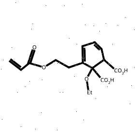 C=CC(=O)OCCC1=CC=CC(C(=O)O)C1(OCC)C(=O)O